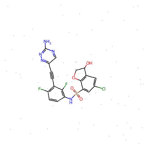 Nc1ncc(C#Cc2c(F)ccc(NS(=O)(=O)c3cc(Cl)cc4c3OCC4O)c2F)nn1